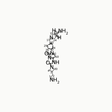 NCCC1CN(C(=O)Nc2ccn(-c3ccc(CN4C[C@@H]5[C@@H](N)[C@@H]5C4)cc3)c(=O)n2)C1